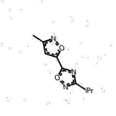 Cc1cc(-c2nc(C(C)C)no2)on1